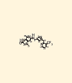 Cc1nc(NCc2cnn(Cc3ncccc3C(F)(F)F)c2)cc2c1NC(=O)CN2C